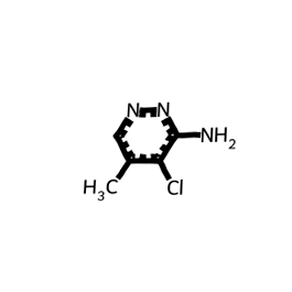 Cc1cnnc(N)c1Cl